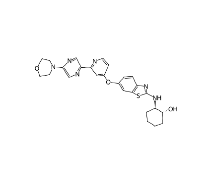 O[C@@H]1CCCC[C@H]1Nc1nc2ccc(Oc3ccnc(-c4cnc(N5CCOCC5)cn4)c3)cc2s1